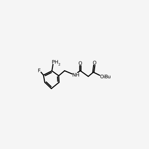 CC(C)COC(=O)CC(=O)NCc1cccc(F)c1P